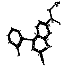 Cc1ccccc1-c1cc(=O)oc2cc(N(C)CC#N)ccc12